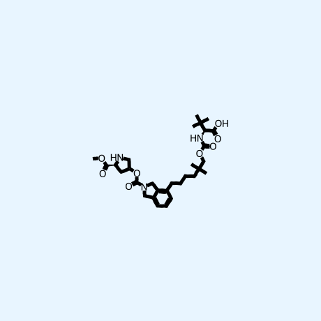 COC(=O)[C@@H]1CC(OC(=O)N2Cc3cccc(CCCCC(C)(C)COC(=O)N[C@H](C(=O)O)C(C)(C)C)c3C2)CN1